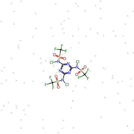 O=S(=O)(N(Cl)c1nc(N(Cl)S(=O)(=O)C(F)(F)F)nc(N(Cl)S(=O)(=O)C(F)(F)F)n1)C(F)(F)F